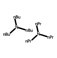 CCCCN(CCCC)CCCC.CCCN(CCC)CCC